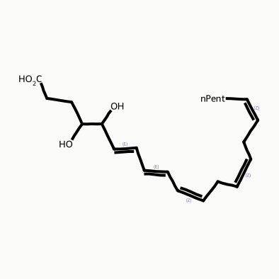 CCCCC/C=C\C/C=C\C\C=C/C=C/C=C/C(O)C(O)CCC(=O)O